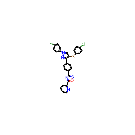 Fc1ccc(-n2cc(Sc3ccc(Cl)cc3)c(-c3ccc(-c4noc(-c5ccccn5)n4)cc3)n2)cc1